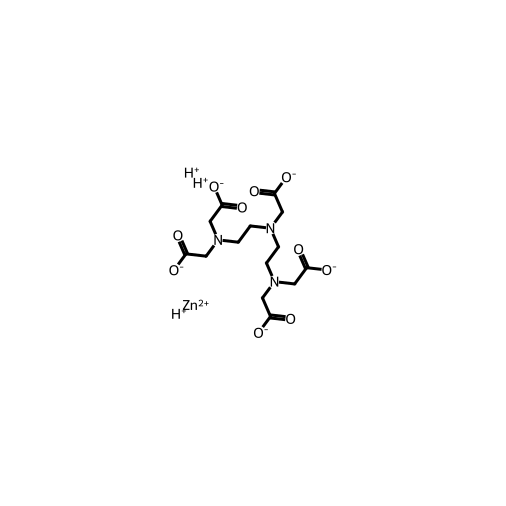 O=C([O-])CN(CCN(CC(=O)[O-])CC(=O)[O-])CCN(CC(=O)[O-])CC(=O)[O-].[H+].[H+].[H+].[Zn+2]